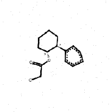 O=C(CCl)O[C@@H]1CCCC[C@H]1c1ccccc1